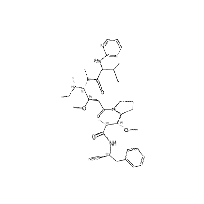 CC[C@H](C)[C@@H]([C@@H](CC(=O)N1CCCC1[C@H](OC)[C@@H](C)C(=O)N[C@H](C#N)Cc1ccccc1)OC)N(C)C(=O)C(Nc1ncccn1)C(C)C